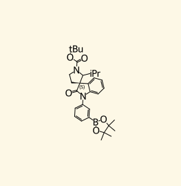 CC(C)C1N(C(=O)OC(C)(C)C)CC[C@@]12C(=O)N(c1cccc(B3OC(C)(C)C(C)(C)O3)c1)c1ccccc12